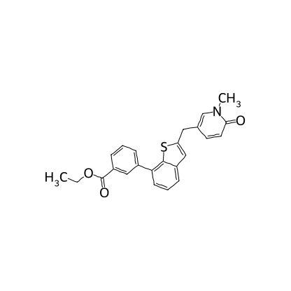 CCOC(=O)c1cccc(-c2cccc3cc(Cc4ccc(=O)n(C)c4)sc23)c1